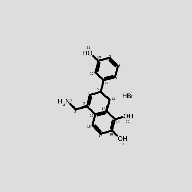 Br.NCC1=CC(c2cccc(O)c2)Cc2c1ccc(O)c2O